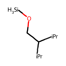 CC(C)C(CO[SiH3])C(C)C